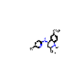 CC(=O)N1c2ccc(C(=O)O)cc2C(Nc2ccc(C#N)cn2)CC1C